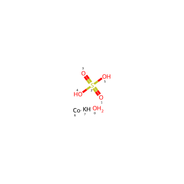 O.O=S(=O)(O)O.[Co].[KH]